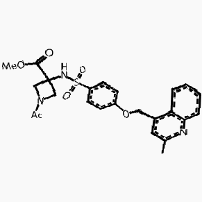 COC(=O)C1(NS(=O)(=O)c2ccc(OCc3cc(C)nc4ccccc34)cc2)CN(C(C)=O)C1